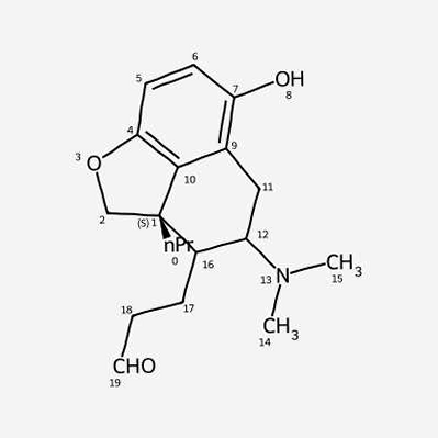 CCC[C@@]12COc3ccc(O)c(c31)CC(N(C)C)C2CCC=O